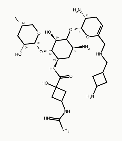 C[C@@H]1CO[C@H](O[C@H]2[C@H](NC(=O)C3(O)CC(NC(=N)N)C3)C[C@H](N)C(O[C@H]3OC(CNCC4CC(N)C4)=CC[C@H]3N)[C@@H]2O)[C@H](O)C1